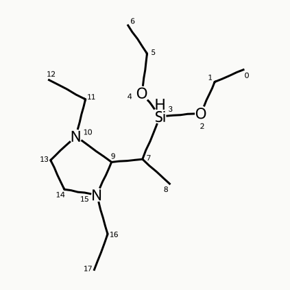 CCO[SiH](OCC)C(C)C1N(CC)CCN1CC